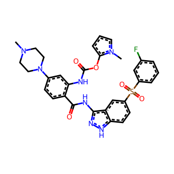 CN1CCN(c2ccc(C(=O)Nc3n[nH]c4ccc(S(=O)(=O)c5cccc(F)c5)cc34)c(NC(=O)Oc3cccn3C)c2)CC1